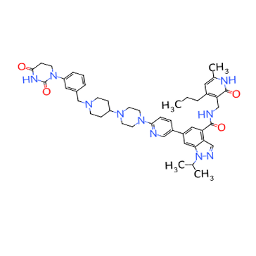 CCCc1cc(C)[nH]c(=O)c1CNC(=O)c1cc(-c2ccc(N3CCN(C4CCN(Cc5cccc(N6CCC(=O)NC6=O)c5)CC4)CC3)nc2)cc2c1cnn2C(C)C